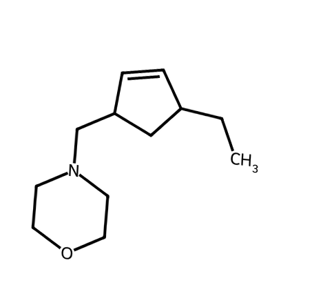 CCC1C=CC(CN2CCOCC2)C1